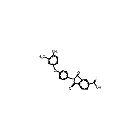 Cc1ccc(Oc2ccc(N3C(=O)c4ccc(C(=O)O)cc4C3=O)cc2)cc1C